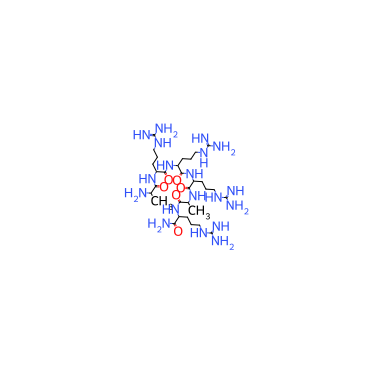 CC(N)C(=O)NC(CCCNC(=N)N)C(=O)NC(CCCNC(=N)N)C(=O)NC(CCCNC(=N)N)C(=O)NC(C)C(=O)NC(CCCNC(=N)N)C(N)=O